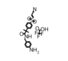 CC(C)(C(=O)NCc1ccc(N)cc1)c1ccc(S(=O)(=O)/C=C/C#N)cc1.O=C(O)C(F)(F)F